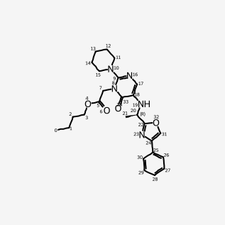 CCCCOC(=O)Cn1c(N2CCCCC2)ncc(N[C@H](C)c2nc(-c3ccccc3)co2)c1=O